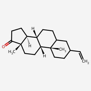 C=CC1CC[C@@]2(C)C(CC[C@@H]3[C@H]2CC[C@]2(C)C(=O)CC[C@@H]32)C1